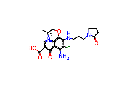 C[C@H]1COc2c(NCCCN3CCCC3=O)c(F)c(N)c3c(=O)c(C(=O)O)cn1c23